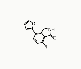 O=C1NCc2c(-c3ccco3)ccc(I)c21